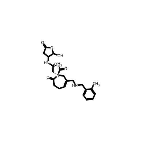 Cc1ccccc1CNCC1=CC[C]C(=O)[N@@+](CC(=O)NC2CC(=O)OC2O)(C(N)=O)C1